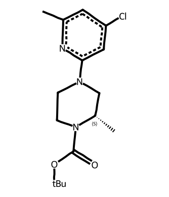 Cc1cc(Cl)cc(N2CCN(C(=O)OC(C)(C)C)[C@@H](C)C2)n1